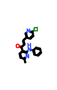 Cc1ccc(C(=O)C=Cc2ccc(Cl)nc2)c(Nc2ccccc2)n1